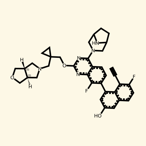 C#Cc1c(F)ccc2cc(O)cc(-c3ccc4c(N5CC6CCC(C5)N6)nc(OCC5(CN6C[C@H]7COC[C@@H]7C6)CC5)nc4c3F)c12